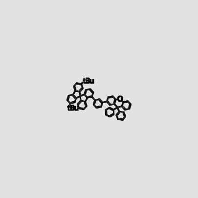 CC(C)(C)c1ccc2c(c1)C1(c3cc(C(C)(C)C)ccc3-2)c2ccccc2-c2c(-c3cccc(-c4ccc5c(c4)C(c4ccccc4)(c4ccccc4)c4ccccc4O5)c3)cccc21